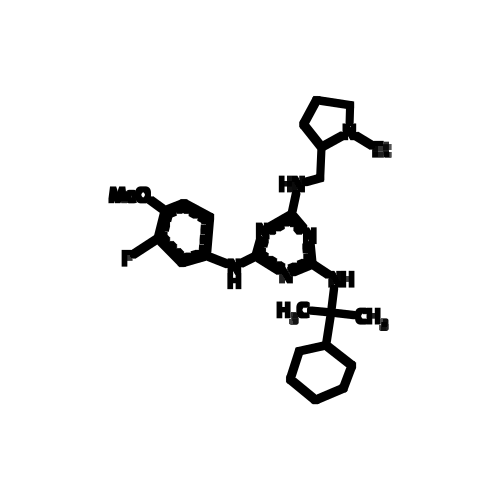 CCN1CCCC1CNc1nc(Nc2ccc(OC)c(F)c2)nc(NC(C)(C)C2CCCCC2)n1